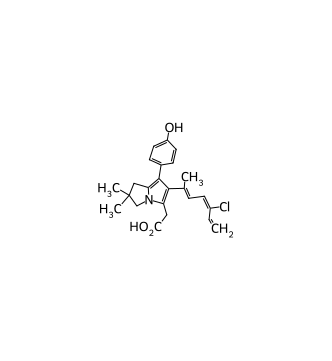 C=C/C(Cl)=C\C=C(/C)c1c(-c2ccc(O)cc2)c2n(c1CC(=O)O)CC(C)(C)C2